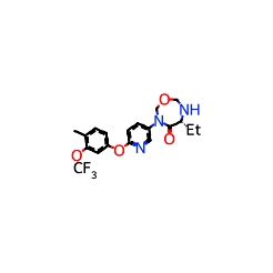 CC[C@H]1NCOCN(c2ccc(Oc3ccc(C)c(OC(F)(F)F)c3)nc2)C1=O